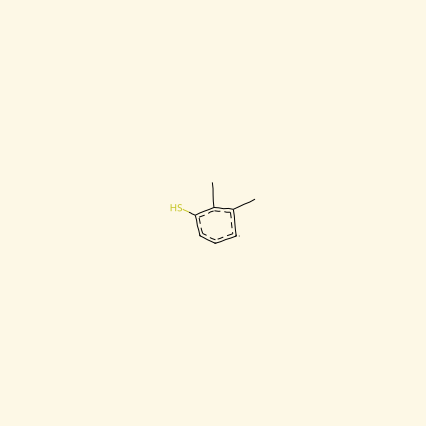 Cc1[c]ccc(S)c1C